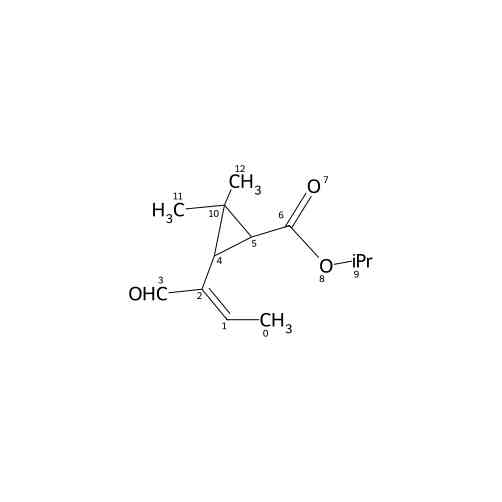 C/C=C(/C=O)C1C(C(=O)OC(C)C)C1(C)C